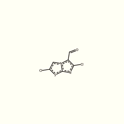 O=Cc1c(Cl)nc2sc(Cl)cn12